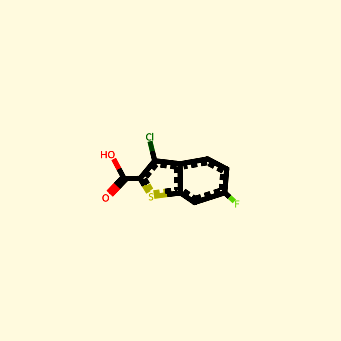 O=C(O)c1sc2cc(F)ccc2c1Cl